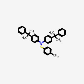 Cc1ccc(SN(c2ccc(C(C)(C)c3ccccc3)cc2)c2ccc(C(C)(C)c3ccccc3)cc2)cc1